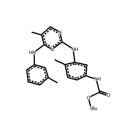 Cc1cccc(Nc2nc(Nc3cc(NC(=O)OC(C)(C)C)ccc3C)ncc2C)c1